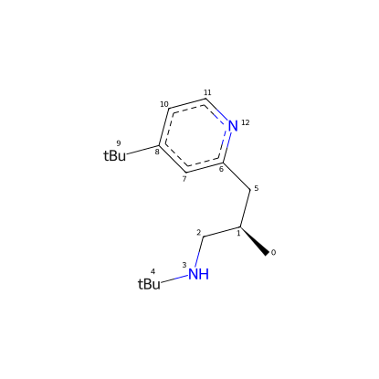 C[C@@H](CNC(C)(C)C)Cc1cc(C(C)(C)C)ccn1